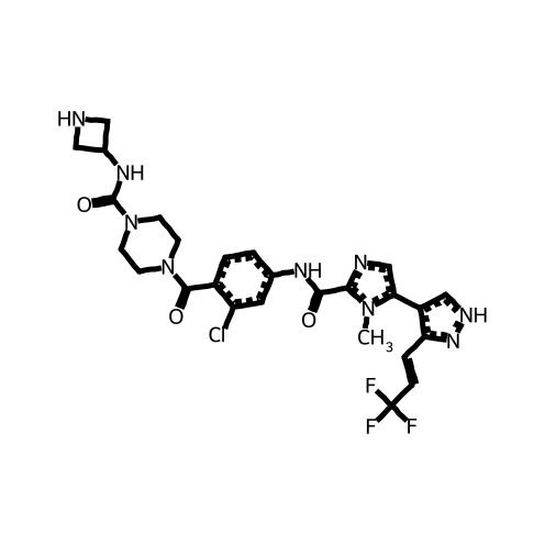 Cn1c(-c2c[nH]nc2C=CC(F)(F)F)cnc1C(=O)Nc1ccc(C(=O)N2CCN(C(=O)NC3CNC3)CC2)c(Cl)c1